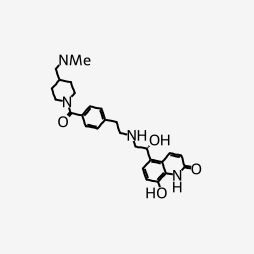 CNCC1CCN(C(=O)c2ccc(CCNC[C@H](O)c3ccc(O)c4[nH]c(=O)ccc34)cc2)CC1